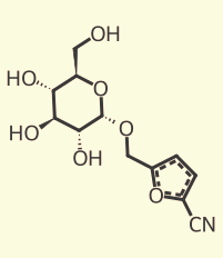 N#Cc1ccc(CO[C@H]2O[C@H](CO)[C@@H](O)[C@H](O)[C@H]2O)o1